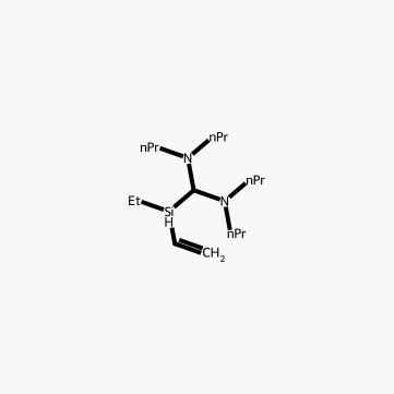 C=C[SiH](CC)C(N(CCC)CCC)N(CCC)CCC